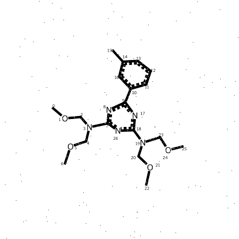 COCN(COC)c1nc(-c2cccc(C)c2)nc(N(COC)COC)n1